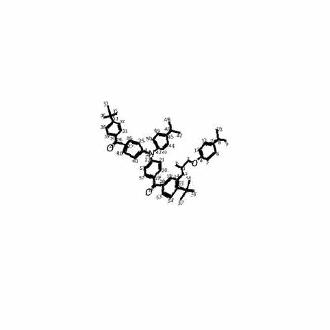 CC(COc1ccc(C(C)C)cc1)Cc1cc(C(=O)c2ccc(N(c3ccc(C(=O)c4ccc(C(C)(C)C)cc4)cc3)c3ccc(C(C)C)cc3)cc2)ccc1C(C)(C)C